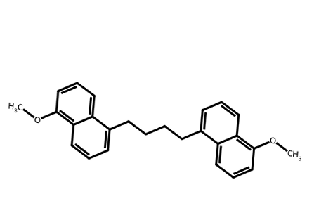 COc1cccc2c(CCCCc3cccc4c(OC)cccc34)cccc12